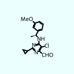 COc1cccc([C@H](C)Nc2nc(C3CC3)nc(C=O)c2Cl)c1